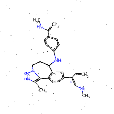 C=C/C(=C\NC)c1ccc2c(c1)C(Nc1ccc(C(=C)NC)cc1)CCN1NNC(C)=C21